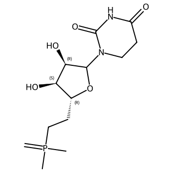 C=P(C)(C)CC[C@H]1OC(N2CCC(=O)NC2=O)[C@H](O)[C@@H]1O